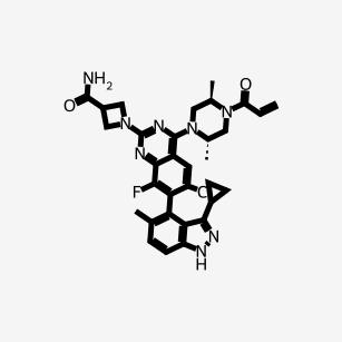 C=CC(=O)N1C[C@H](C)N(c2nc(N3CC(C(N)=O)C3)nc3c(F)c(-c4c(C)ccc5[nH]nc(C6CC6)c45)c(Cl)cc23)C[C@H]1C